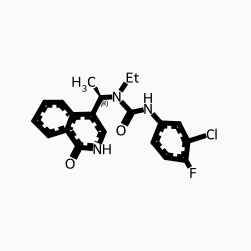 CCN(C(=O)Nc1ccc(F)c(Cl)c1)[C@H](C)c1c[nH]c(=O)c2ccccc12